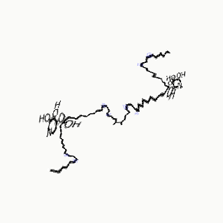 CCCCC/C=C\C/C=C\CCCCCCCCC(O)(CCCCCCCC/C=C\C/C=C\CCCC(C)C(C)CCC/C=C\C/C=C\CCCCCCCCC1(CCCCCCCC/C=C\C/C=C\CCCCC)O[C@H]2[C@H](O)[C@H](O)CN(C)C[C@H]2O1)O[C@@H]1CCN(C)C[C@@H](O)[C@H]1O